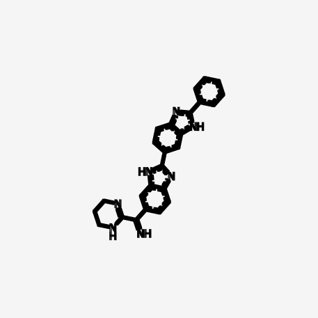 N=C(C1=NCCCN1)c1ccc2nc(-c3ccc4nc(-c5ccccc5)[nH]c4c3)[nH]c2c1